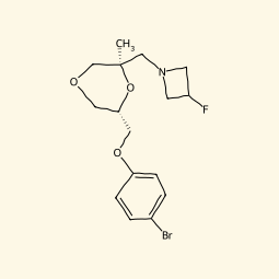 C[C@@]1(CN2CC(F)C2)COC[C@@H](COc2ccc(Br)cc2)O1